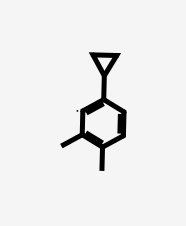 Cc1[c]c(C2CC2)ccc1C